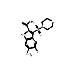 NC(=O)c1[nH]c2cc([N+](=O)[O-])c(Br)cc2c1S(=O)(=O)N1CCOCC1